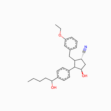 CCCCC(O)c1ccc(C2C(Cc3cccc(OCC)c3)[C@H](C#N)C[C@H]2O)cc1